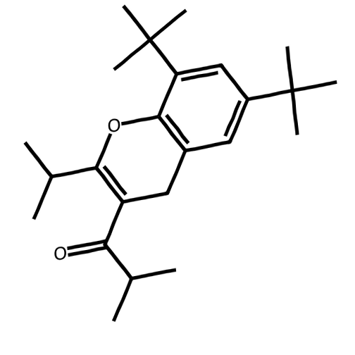 CC(C)C(=O)C1=C(C(C)C)Oc2c(cc(C(C)(C)C)cc2C(C)(C)C)C1